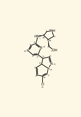 OC[C@@H]1CNC[C@@H]1Nc1cncc(C2C=NN3C=C(Cl)C=CC23)n1